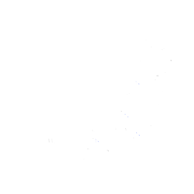 CCCC(=O)N1CCC(c2nc(-c3ccc(-c4cccc(F)c4)nc3)c[nH]2)CC1